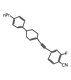 CCCc1ccc(C2CC=C(C#Cc3ccc(C#N)c(F)c3)CC2)cc1